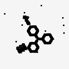 C1CCC(P(C2CCCCC2)C2CCCCC2)CC1.[C]=O.[C]=O.[C]=O.[C]=O.[Mn]